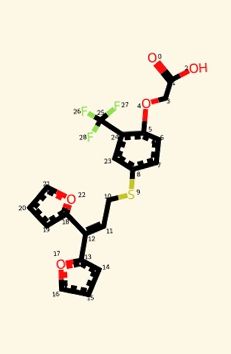 O=C(O)COc1ccc(SCC=C(c2ccco2)c2ccco2)cc1C(F)(F)F